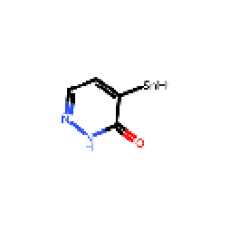 O=c1[nH]ncc[c]1[SnH]